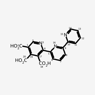 O=C(O)c1cnc(-c2cccc(-c3ccccn3)n2)c(C(=O)O)c1C(=O)O